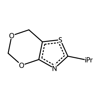 CC(C)c1nc2c(s1)COCO2